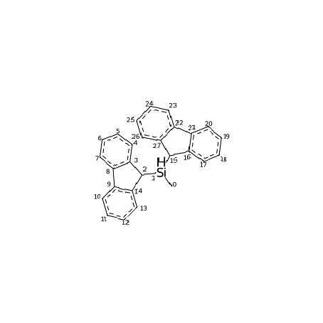 C[SiH](C1c2ccccc2-c2ccccc21)C1c2ccccc2-c2ccccc21